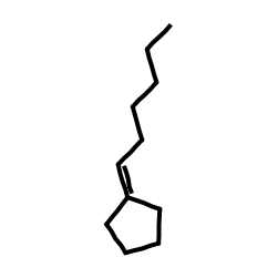 CCCCCC=C1CCCC1